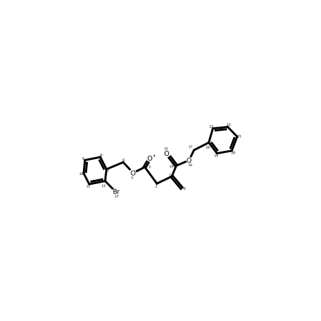 C=C(CC(=O)OCc1ccccc1Br)C(=O)OCc1ccccc1